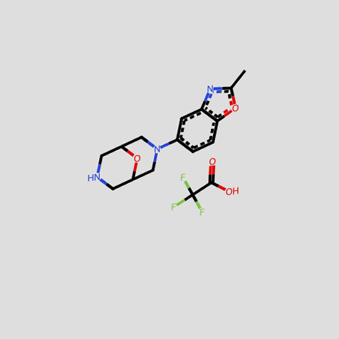 Cc1nc2cc(N3CC4CNCC(C3)O4)ccc2o1.O=C(O)C(F)(F)F